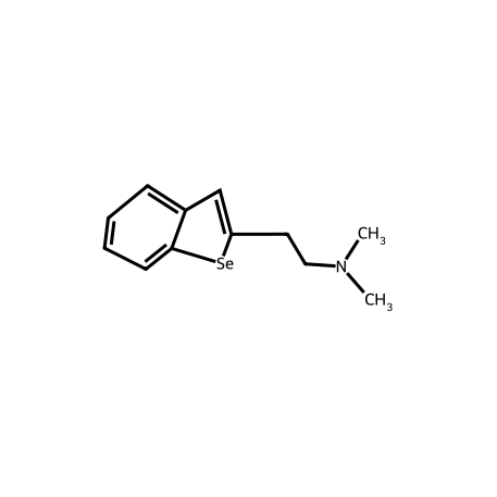 CN(C)CCc1cc2ccccc2[se]1